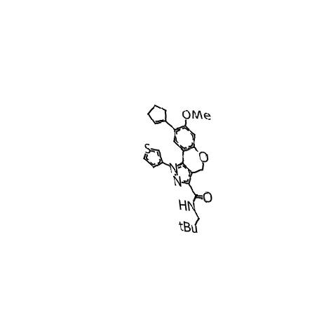 COc1cc2c(cc1C1=CCCC1)-c1c(c(C(=O)NCC(C)(C)C)nn1-c1ccsc1)CO2